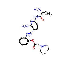 C[C@H](N)C(=O)Nc1ccc(/N=N/c2ccccc2OC(=O)CN2CCCCC2)c(N)n1